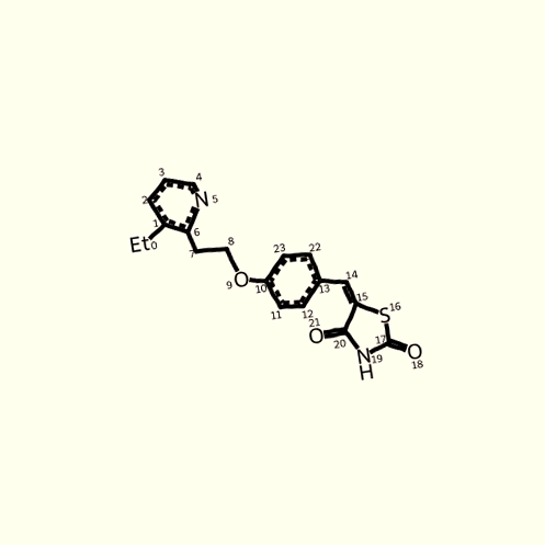 CCc1cccnc1CCOc1ccc(C=C2SC(=O)NC2=O)cc1